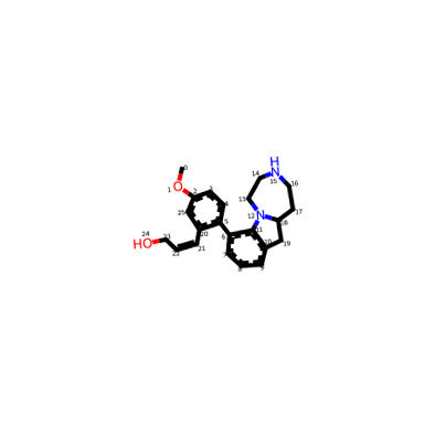 COc1ccc(-c2cccc3c2N2CCNCCC2C3)c(/C=C\CO)c1